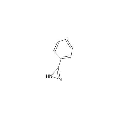 [c]1ccc(C2=NN2)cc1